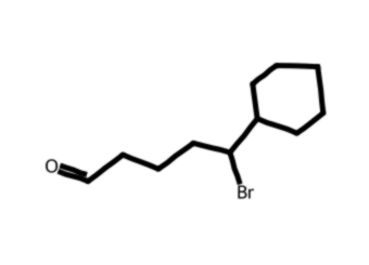 O=CCCCC(Br)C1CCCCC1